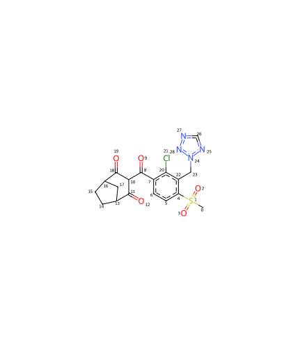 CS(=O)(=O)c1ccc(C(=O)C2C(=O)C3CCC(C3)C2=O)c(Cl)c1Cn1ncnn1